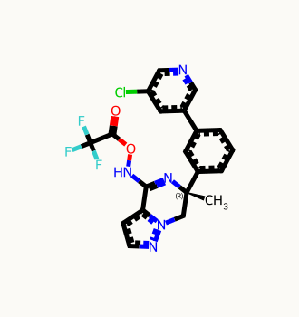 C[C@@]1(c2cccc(-c3cncc(Cl)c3)c2)Cn2nccc2C(NOC(=O)C(F)(F)F)=N1